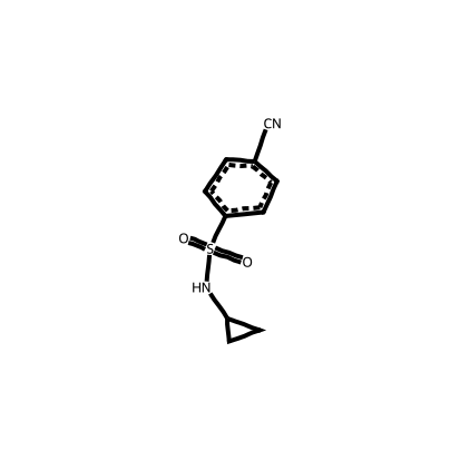 N#Cc1ccc(S(=O)(=O)NC2CC2)cc1